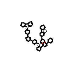 c1ccc(-c2ccc(-c3ccccc3N(c3ccc(-c4cccc(-c5ccc(-n6c7ccccc7c7ccccc76)cc5)c4)cc3)c3cccc(-c4ccc5c(c4)oc4ccccc45)c3)cc2)cc1